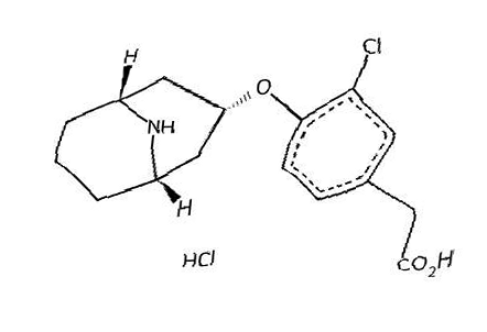 Cl.O=C(O)Cc1ccc(O[C@H]2C[C@H]3CCC[C@@H](C2)N3)c(Cl)c1